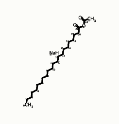 CCCCCCCCCCCCCCCCCCCCCC(=O)OC(C)=O.[NaH]